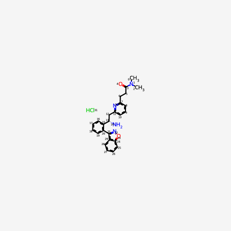 CN(C)C(=O)CCc1cccc(C[C@H](N)c2ccccc2-c2noc3ccccc23)n1.Cl